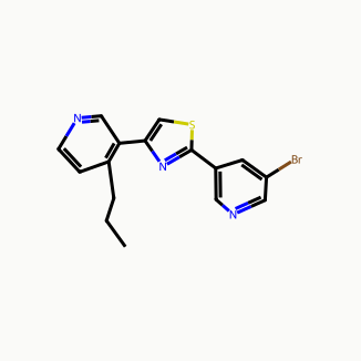 CCCc1ccncc1-c1csc(-c2cncc(Br)c2)n1